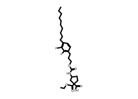 CCCCCCCCCCc1ccc(CCCOC(=O)NC2CCC(C(=O)O)(C(=O)OCC)C2)c(F)c1F